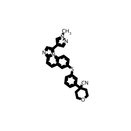 Cn1cc(-c2cnc3ccc4cc(Sc5cccc(C6(C#N)CCOCC6)c5)ccc4n23)cn1